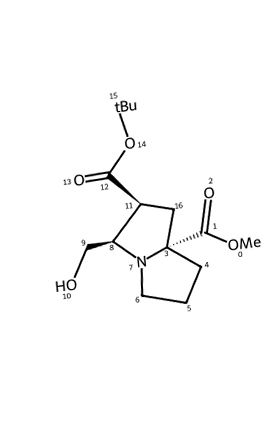 COC(=O)[C@]12CCCN1[C@@H](CO)[C@@H](C(=O)OC(C)(C)C)C2